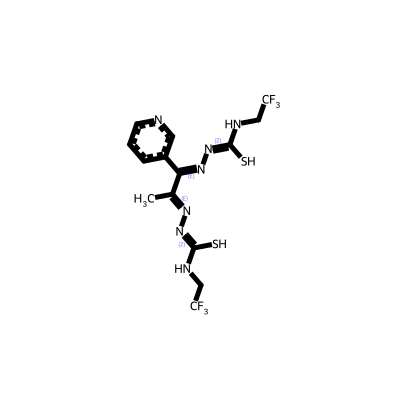 CC(=N\N=C(/S)NCC(F)(F)F)/C(=N/N=C(\S)NCC(F)(F)F)c1cccnc1